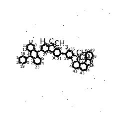 CC1(C)c2ccc(-c3c4ccccc4c(-c4ccccc4)c4ccccc34)cc2-c2ccc(-c3ccc4c(c3)-c3ccc5ccc6sc7ccccc7c6c5c3C4(C)C)cc21